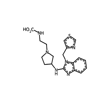 O=C(O)NCCN1CCC(Nc2nc3ccccc3n2Cc2cscn2)C1